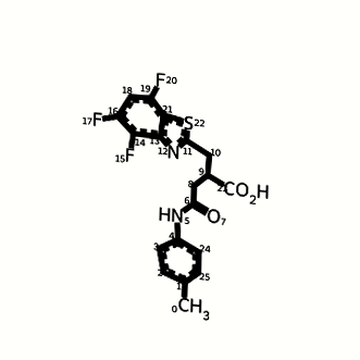 Cc1ccc(NC(=O)CC(Cc2nc3c(F)c(F)cc(F)c3s2)C(=O)O)cc1